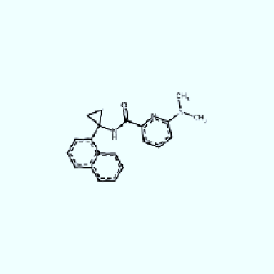 CN(C)c1cccc(C(=O)NC2(c3cccc4ccccc34)CC2)n1